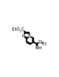 CCOC(=N)c1ccc2nc(C(=O)OCC)cn2c1